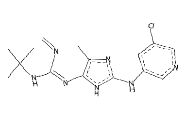 C=N/C(=N\c1[nH]c(Nc2cncc(Cl)c2)nc1C)NC(C)(C)C